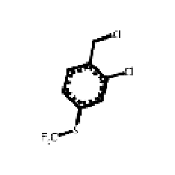 FC(F)(F)Sc1ccc(CCl)c(Cl)c1